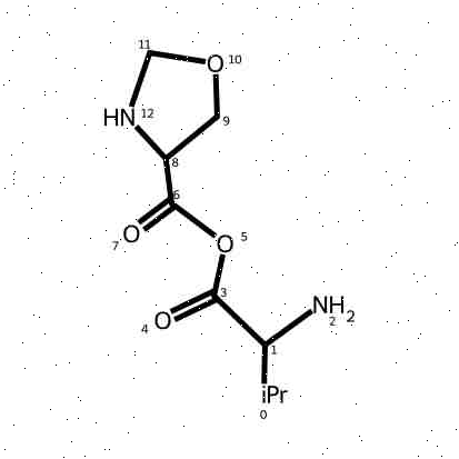 CC(C)C(N)C(=O)OC(=O)C1COCN1